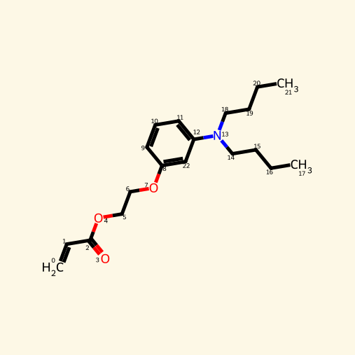 C=CC(=O)OCCOc1cccc(N(CCCC)CCCC)c1